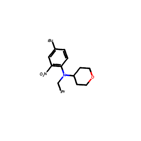 CCC(C)c1ccc(N(CC(C)C)C2CCOCC2)c([N+](=O)[O-])c1